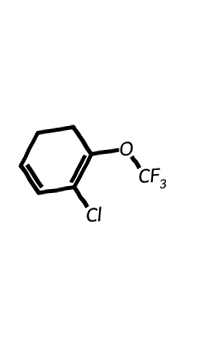 FC(F)(F)OC1=C(Cl)C=CCC1